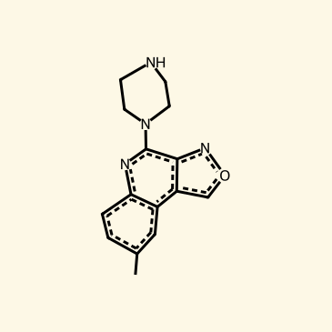 Cc1ccc2nc(N3CCNCC3)c3nocc3c2c1